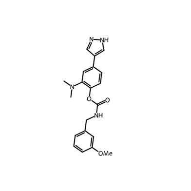 COc1cccc(CNC(=O)Oc2ccc(-c3cn[nH]c3)cc2N(C)C)c1